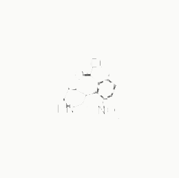 CCC(=O)c1cccc([N+](=O)[O-])c1C1CCCNC1